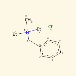 CC[N+](C)(CC)Cc1ccccc1.[Cl-]